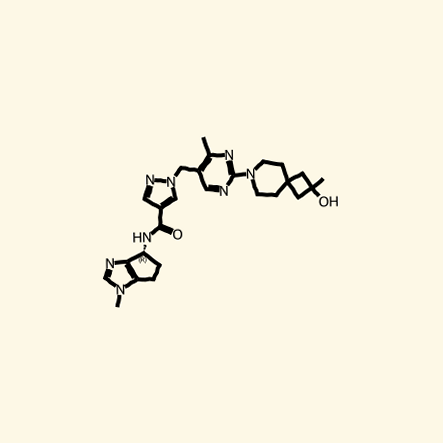 Cc1nc(N2CCC3(CC2)CC(C)(O)C3)ncc1Cn1cc(C(=O)N[C@@H]2CCc3c2ncn3C)cn1